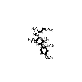 COCCC(C)Nc1nc(C)c(-c2ccc(OC)cc2OC)nc1C